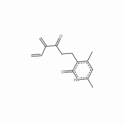 C=CC(=C)C(=O)CCc1c(C)cc(C)[nH]c1=O